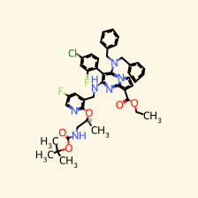 CCOC(=O)c1ccn2c(N(Cc3ccccc3)Cc3ccccc3)c(-c3ccc(Cl)cc3F)c(NCc3cc(F)cnc3O[C@@H](C)CNC(=O)OC(C)(C)C)nc12